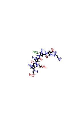 CN(C)CCCN(C)C(=O)c1cc(N(C)C(=O)c2cc(N(C)C(=O)c3cc(N(C(=O)c4cc(NCCO)c[nH]4)N(C)CCO)c[nH]3)c[nH]2)c[nH]1.Cl